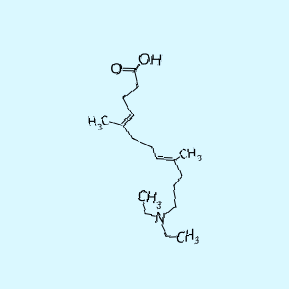 CCN(CC)CCCC(C)=CCCC(C)=CCCC(=O)O